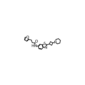 O=C(CCc1ccco1)Nc1ccc2nc(C3CC(N4CCCCC4)C3)sc2c1